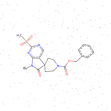 CC(C)(C)N1C(=O)C2(CCN(C(=O)OCc3ccccc3)CC2)c2cnc(S(C)(=O)=O)nc21